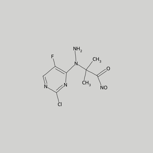 CC(C)(C(=O)N=O)N(N)c1nc(Cl)ncc1F